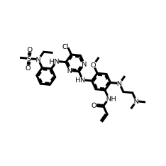 C=CC(=O)Nc1cc(Nc2ncc(Cl)c(Nc3ccccc3N(CC)S(C)(=O)=O)n2)c(OC)cc1N(C)CCN(C)C